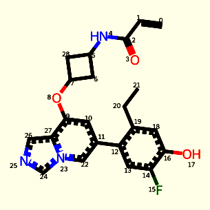 C=CC(=O)NC1CC(Oc2cc(-c3cc(F)c(O)cc3CC)cn3cncc23)C1